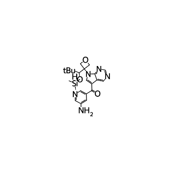 C[SiH](C)OC(C(C)(C)C)C1(n2cc(C(=O)c3cncc(N)c3)c3cncnc32)COC1